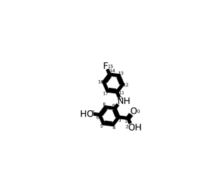 O=C(O)c1ccc(O)cc1Nc1ccc(F)cc1